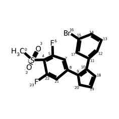 CS(=O)(=O)c1c(F)cc(C2=C(c3cccc(Br)c3)C=CC2)cc1F